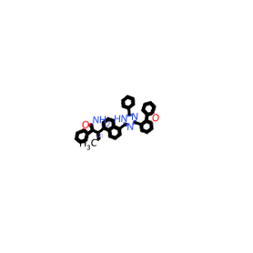 C/C=C(\c1c(N)oc2ccccc12)c1cccc2c(C3=NC(c4cccc5oc6ccccc6c45)=NC(c4ccccc4)N3)cccc12